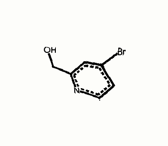 OCc1cc(Br)c[c]n1